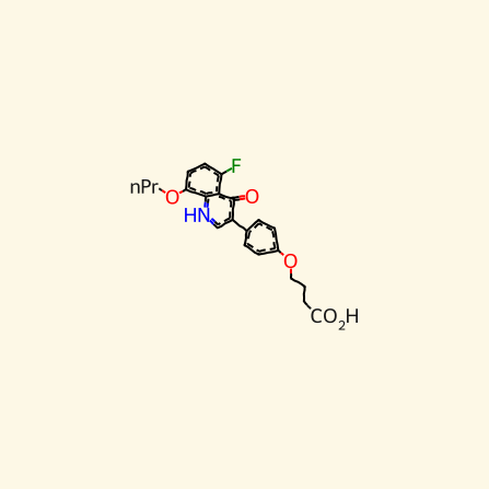 CCCOc1ccc(F)c2c(=O)c(-c3ccc(OCCCC(=O)O)cc3)c[nH]c12